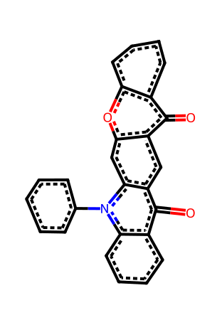 O=c1c2ccccc2oc2cc3c(cc12)c(=O)c1ccccc1n3-c1ccccc1